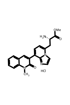 COC(=O)[C@@H](N)Cc1ccc(-c2cc3ccccc3n(C)c2=O)c2nccn12.Cl